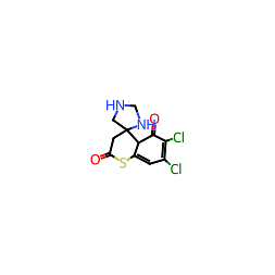 O=C1CC2(CNCN2)C2C(=O)C(Cl)=C(Cl)C=C2S1